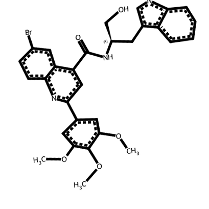 COc1cc(-c2cc(C(=O)N[C@@H](CO)Cc3c[nH]c4ccccc34)c3cc(Br)ccc3n2)cc(OC)c1OC